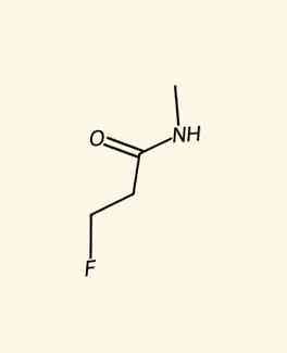 CNC(=O)CCF